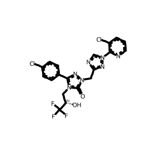 O=c1n(Cc2ncn(-c3ncccc3Cl)n2)nc(-c2ccc(Cl)cc2)n1C[C@H](O)C(F)(F)F